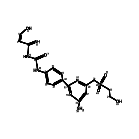 N=C(/C=C\O)NC(=O)Nc1ccc(-c2nc(N)cc(CS(=O)(=O)CCO)n2)cc1